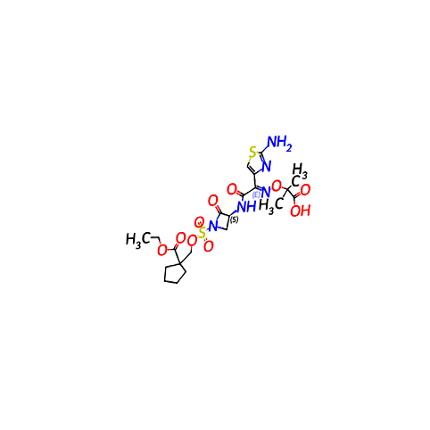 CCOC(=O)C1(COS(=O)(=O)N2C[C@H](NC(=O)/C(=N/OC(C)(C)C(=O)O)c3csc(N)n3)C2=O)CCCC1